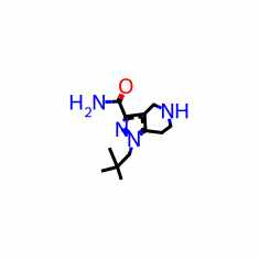 CC(C)(C)Cn1nc(C(N)=O)c2c1CCNC2